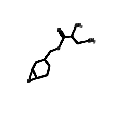 CCC(C)C(=O)OCC1CCC2OC2C1